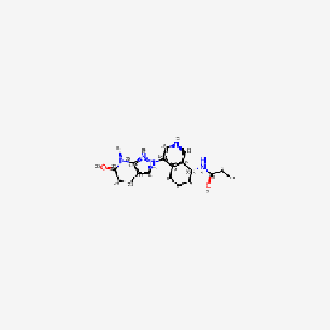 CCC(=O)N[C@@H]1CCCc2c1cncc2-n1cc2c(n1)N(C)C(=O)CC2